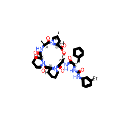 CCc1cccc(NC(=O)N[C@@H](Cc2ccccc2)C(=O)N[C@H]2COC(=O)[C@@H]3C[C@@H](C)CN3C(=O)[C@H](C)NC(=O)[C@@H]3CCCCN3C(=O)[C@@H]3CCCCN3C2=O)c1